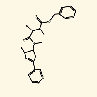 CC1N=C(c2cccnc2)SC1N(C)C(=O)[C@@H](C)N(C)C(=O)OCc1ccccc1